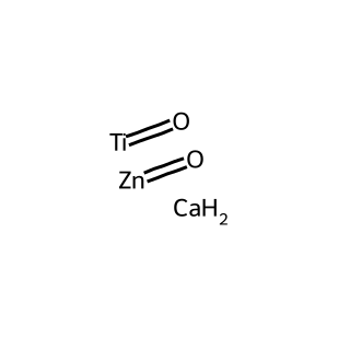 [CaH2].[O]=[Ti].[O]=[Zn]